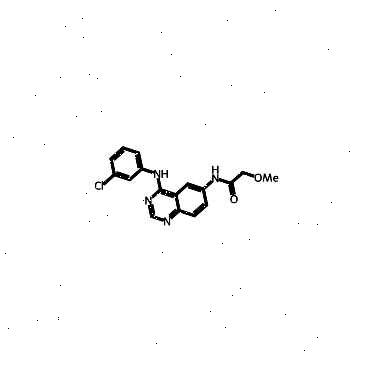 COCC(=O)Nc1ccc2ncnc(Nc3cccc(Cl)c3)c2c1